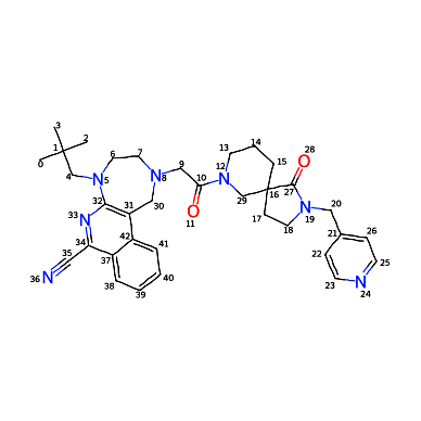 CC(C)(C)CN1CCN(CC(=O)N2CCCC3(CCN(Cc4ccncc4)C3=O)C2)Cc2c1nc(C#N)c1ccccc21